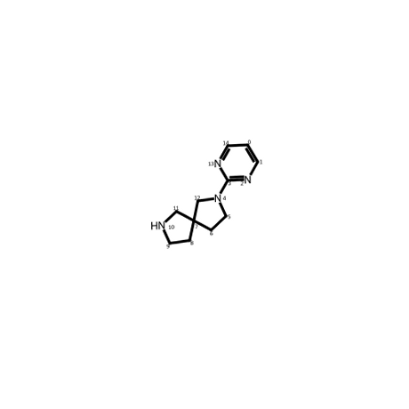 c1cnc(N2CCC3(CCNC3)C2)nc1